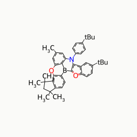 Cc1cc2c3c(c1)N(c1ccc(C(C)(C)C)cc1)c1c(oc4ccc(C(C)(C)C)cc14)B3c1ccc3c(c1O2)C(C)(C)CC3(C)C